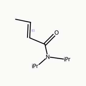 C/C=C/C(=O)N(C(C)C)C(C)C